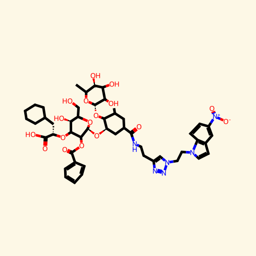 CC1CC(C(=O)NCCc2cn(CCn3ccc4cc([N+](=O)[O-])ccc43)nn2)C[C@@H](O[C@@H]2OC(CO)[C@H](O)C(O[C@@H](CC3CCCCC3)C(=O)O)C2OC(=O)c2ccccc2)C1O[C@@H]1OC(C)[C@@H](O)C(O)C1O